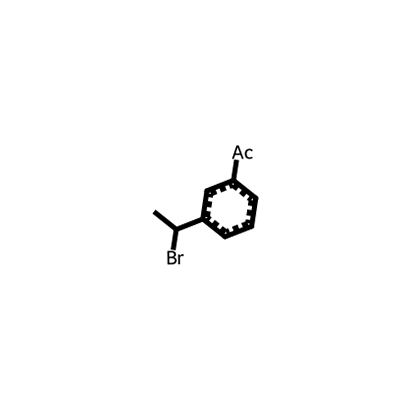 CC(=O)c1cccc(C(C)Br)c1